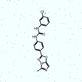 Cc1ncc2oc(-c3ccc(NC(=O)Nc4cccc(C(F)(F)F)c4)cc3)nn12